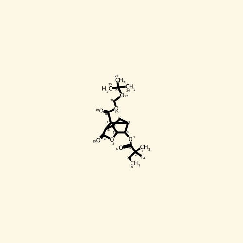 CCC(C)(I)C(=O)OC1C2CC3C1OC(=O)C3C2C(=O)OCOC(C)(C)C